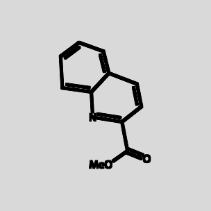 [CH]OC(=O)c1ccc2ccccc2n1